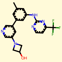 Cc1cc(Nc2nccc(C(F)(F)F)n2)cc(-c2cncc(N3CC(O)C3)c2)c1